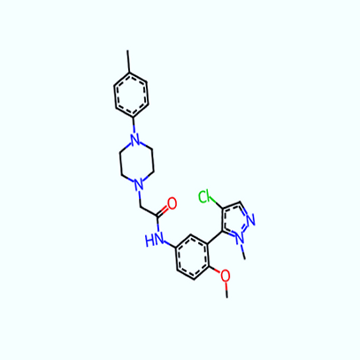 COc1ccc(NC(=O)CN2CCN(c3ccc(C)cc3)CC2)cc1-c1c(Cl)cnn1C